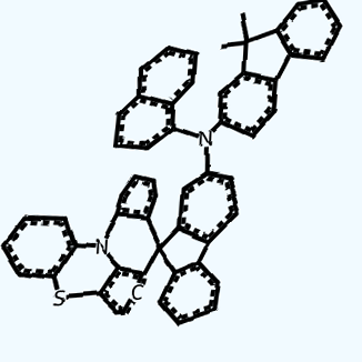 CC1(C)c2ccccc2-c2ccc(N(c3ccc4c(c3)C3(c5ccccc5-4)c4ccccc4N4c5ccccc5Sc5cccc3c54)c3cccc4ccccc34)cc21